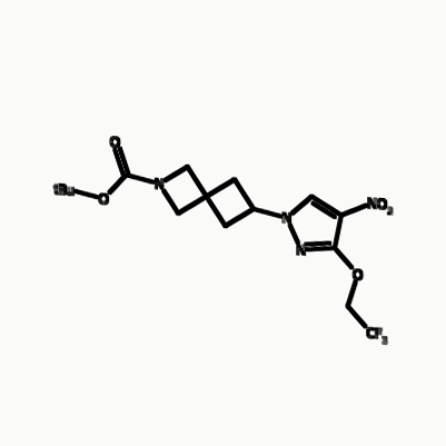 CC(C)(C)OC(=O)N1CC2(CC(n3cc([N+](=O)[O-])c(OCC(F)(F)F)n3)C2)C1